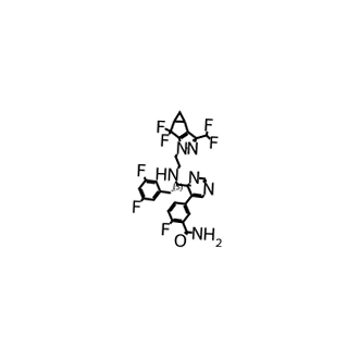 NC(=O)c1cc(-c2cncnc2[C@H](Cc2cc(F)cc(F)c2)NCCn2nc(C(F)F)c3c2C(F)(F)C2CC32)ccc1F